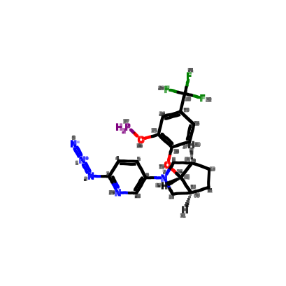 [N-]=[N+]=Nc1ccc(N2C[C@H]3CC[C@@H](C2)[C@@H]3Oc2ccc(C(F)(F)F)cc2OP)cn1